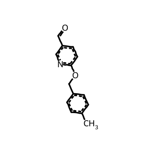 Cc1ccc(COc2ccc(C=O)cn2)cc1